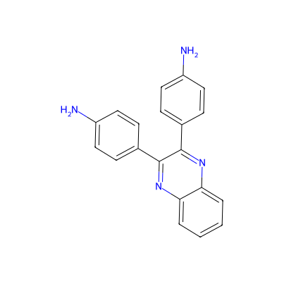 Nc1ccc(-c2nc3ccccc3nc2-c2ccc(N)cc2)cc1